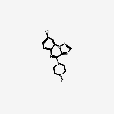 CN1CCN(c2nc3ccc(Cl)cc3n3ncnc23)CC1